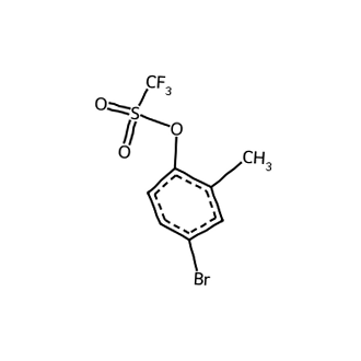 Cc1cc(Br)ccc1OS(=O)(=O)C(F)(F)F